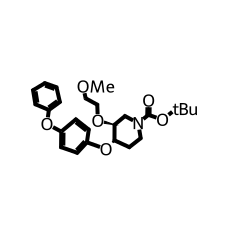 COCCO[C@H]1CN(C(=O)OC(C)(C)C)CC[C@@H]1Oc1ccc(Oc2ccccc2)cc1